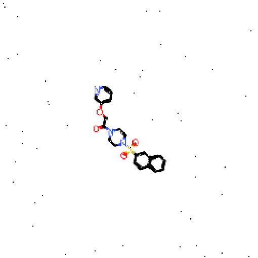 O=C(COc1cccnc1)N1CCN(S(=O)(=O)c2ccc3ccccc3c2)CC1